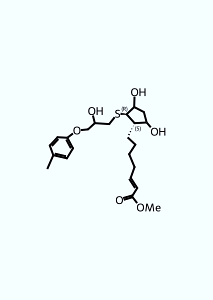 COC(=O)C=CCCCC[C@H]1C(O)CC(O)[C@@H]1SCC(O)COc1ccc(C)cc1